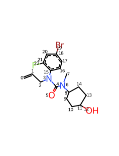 C=CCN(C(=O)N(C)C1CCC(O)CC1)c1ccc(Br)cc1F